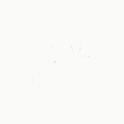 CCCCC(=O)C=CC1CCC(=O)C1CC#CCCC(=O)O